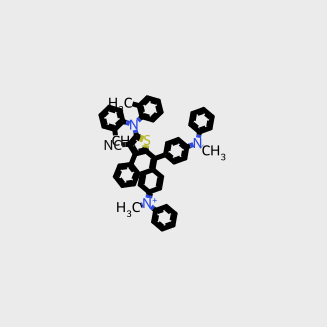 Cc1ccccc1N(c1ccccc1C)c1sc(C(=C2C=CC(=[N+](C)c3ccccc3)C=C2)c2ccc(N(C)c3ccccc3)cc2)c(-c2ccccc2)c1C#N